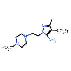 CCOC(=O)c1c(C)nn(CCN2CCN(C(=O)O)CC2)c1N